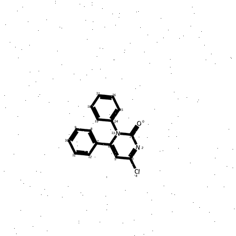 O=c1nc(Cl)cc(-c2ccccc2)n1-c1ccccc1